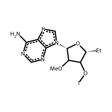 CC[C@H]1O[C@@H](n2cnc3c(N)ncnc32)C(OC)C1OI